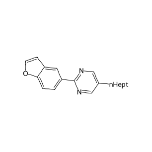 CCCCCCCc1cnc(-c2ccc3occc3c2)nc1